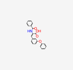 O=C(O)/C(=C\c1cccc(Oc2ccccc2)c1)NC(=O)c1ccccc1